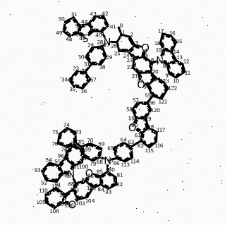 CC1C=c2oc3c(-n4c5ccccc5c5ccccc54)c4c(cc3c2=CC1N(c1ccc(-c2ccccc2)cc1)c1cccc2c1sc1ccccc12)oc1c(-c2ccc3oc5c(-c6ccc(N(c7ccc(-c8ccccc8)cc7)c7cccc8c7oc7c(-n9c%10ccccc%10c%10ccccc%109)c9c(cc78)oc7ccccc79)cc6)cccc5c3c2)cccc14